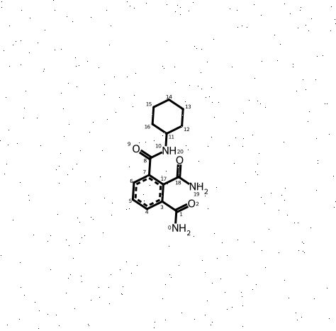 NC(=O)c1cccc(C(=O)NC2CCCCC2)c1C(N)=O